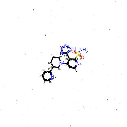 NS(=O)(=O)c1nccc(N2CCCC(c3ccccn3)C2)c1-c1nnn[nH]1